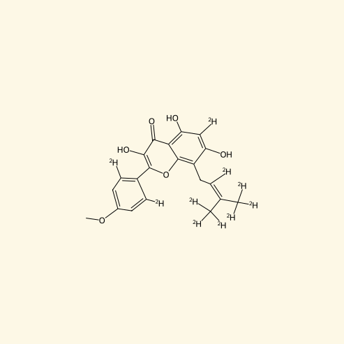 [2H]C(Cc1c(O)c([2H])c(O)c2c(=O)c(O)c(-c3c([2H])cc(OC)cc3[2H])oc12)=C(C([2H])([2H])[2H])C([2H])([2H])[2H]